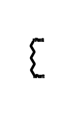 [CH2]CC[CH]CCCCCCCCCCC